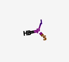 B=P(=S)I